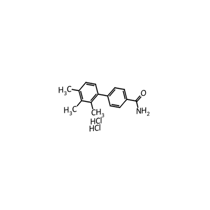 Cc1ccc(-c2ccc(C(N)=O)cc2)c(C)c1C.Cl.Cl